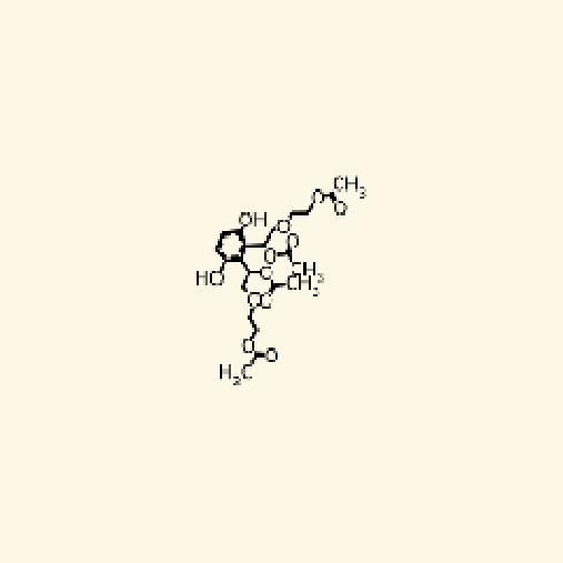 CC(=O)OCCOCC(OC(C)=O)c1c(O)ccc(O)c1C(COCCOC(C)=O)OC(C)=O